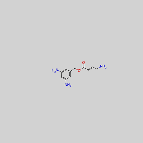 NC/C=C/C(=O)OCc1cc(N)cc(N)c1